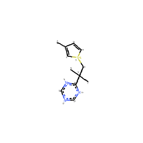 CC1=C[SH](CC(C)(C)c2ncncn2)C=C1